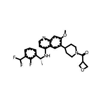 COc1cc2nccc(N[C@H](C)c3cccc(C(F)F)c3F)c2cc1C1CCN(C(=O)C2COC2)CC1